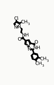 Cc1ccc(-c2nn3cc(C(=O)NCCn4ncc(Cl)c4C)cc3c(=O)[nH]2)cc1C